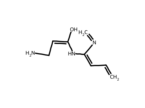 C=C/C=C(\N=C)N/C(O)=C\CN